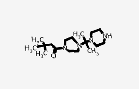 CC(C)(C)CC(=O)N1CCN(C(C)(C)N2CCNCC2)CC1